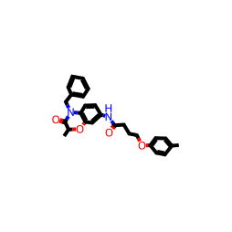 Cc1ccc(OCCCC(=O)Nc2ccc3c(c2)OC(C)C(=O)N3Cc2ccccc2)cc1